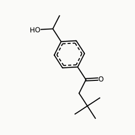 CC(O)c1ccc(C(=O)CC(C)(C)C)cc1